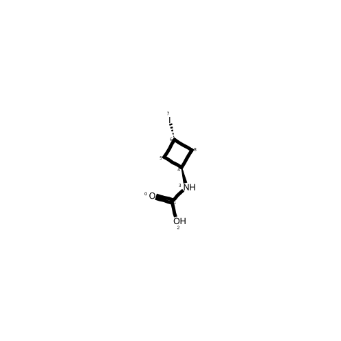 O=C(O)N[C@H]1C[C@H](I)C1